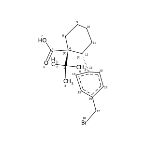 CC(C)(C)[C@@]1(C(=O)O)CCCC[C@@H]1c1ccc(CBr)cc1